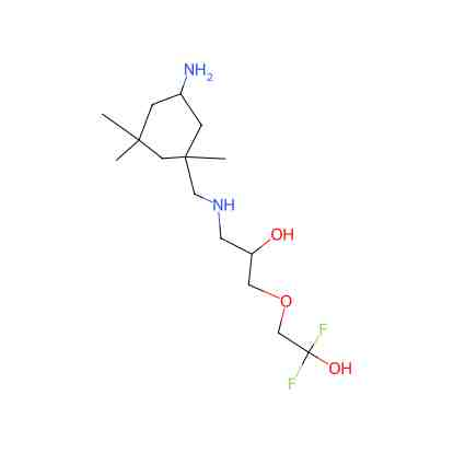 CC1(C)CC(N)CC(C)(CNCC(O)COCC(O)(F)F)C1